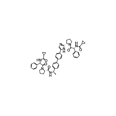 C[C@@H](NC(=O)[C@@H]1CCCN1C(=O)[C@H](NC(=O)C1CC1)c1ccccc1)c1ccc(-c2ccc(-c3cnc([C@@H]4CCCN4C(=O)[C@H](NC(=O)C4CC4)c4ccccc4)[nH]3)cc2)cc1